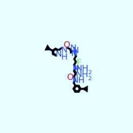 N/C(=C\N(N)CC(F)CCn1cc(C(=O)NCc2cc(C3CC3)ccn2)nn1)C(=O)NCc1cccc(C2CC2)c1